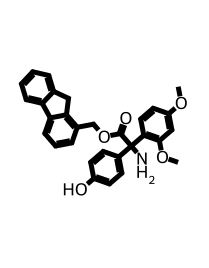 COc1ccc(C(N)(C(=O)OCc2cccc3c2Cc2ccccc2-3)c2ccc(O)cc2)c(OC)c1